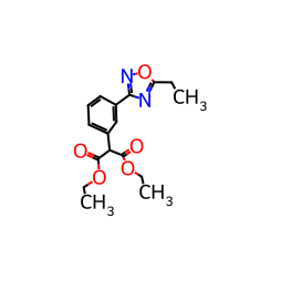 CCOC(=O)C(C(=O)OCC)c1cccc(-c2noc(CC)n2)c1